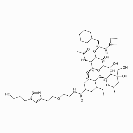 CCC1CC(C(=O)NCCOCCc2cn(CCCO)nn2)C[C@@H](O[C@@H]2OC(CO)[C@H](O)C(O[C@@H](CC3CCCCC3)C(=O)N3CCC3)C2NC(C)=O)C1O[C@@H]1OC(C)CC(O)(CO)C1O